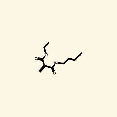 C=C(C(=O)NCCCC)C(=O)OCC